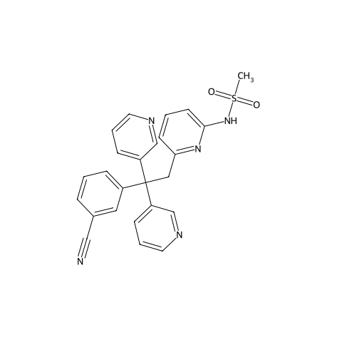 CS(=O)(=O)Nc1cccc(CC(c2cccnc2)(c2cccnc2)c2cccc(C#N)c2)n1